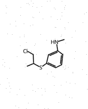 CNc1cccc(SC(C)CCl)c1